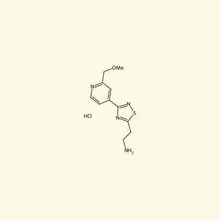 COCc1cc(-c2nsc(CCN)n2)ccn1.Cl